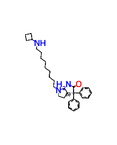 NC(=O)C(c1ccccc1)(c1ccccc1)[C@@H]1CCN(CCCCCCCCCNC2CCC2)C1